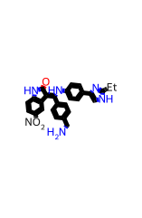 CCc1nc(-c2ccc(N/C(=C3\C(=O)Nc4ccc([N+](=O)[O-])cc43)c3ccc(CN)cc3)cc2)c[nH]1